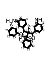 Nc1cccc(C(Oc2ccccc2)C(F)(C(Oc2ccccc2)c2cccc(N)c2)C(F)(F)C(F)(F)F)c1